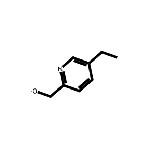 CCc1ccc(C[O])nc1